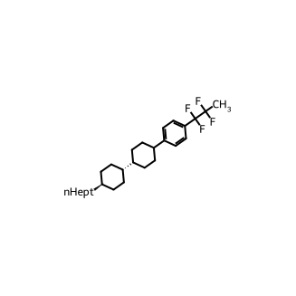 CCCCCCC[C@H]1CC[C@H](C2CCC(c3ccc(C(F)(F)C(C)(F)F)cc3)CC2)CC1